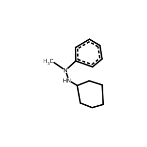 CN(NC1CCCCC1)c1ccccc1